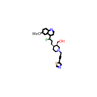 COc1ccc2nccc(C(F)CC[C@@H]3CCN(CC#Cc4cncs4)C[C@@H]3CO)c2c1